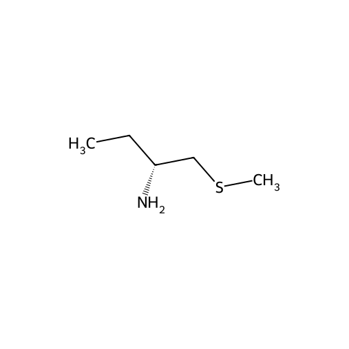 CC[C@@H](N)CSC